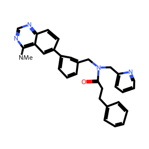 CNc1ncnc2ccc(-c3cccc(CN(Cc4ccccn4)C(=O)CCc4ccccc4)c3)cc12